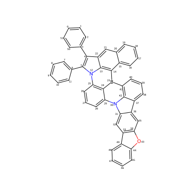 c1ccc(-c2c(-c3ccccc3)n3c4c(c5ccccc5cc24)B2c4c-3cccc4-n3c4cc5c(cc4c4cccc2c43)oc2ccccc25)cc1